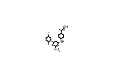 C/C(=N\O)c1ccc(Nc2cc(-c3cc(Cl)ccc3C)nc(N)n2)cc1